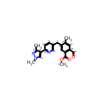 COC(=O)c1cc(Cc2ccc(-c3cn(C)nc3C)nc2)c(C)cc1C=O